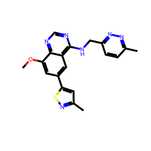 COc1cc(-c2cc(C)ns2)cc2c(NCc3ccc(C)nn3)ncnc12